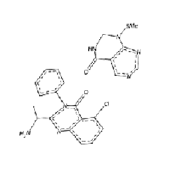 CC(N)c1nc2cccc(Cl)c2c(=O)n1-c1ccccc1.CSN1CNC(=O)c2cncnc21